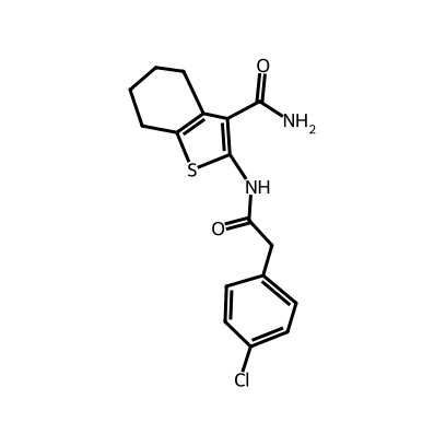 NC(=O)c1c(NC(=O)Cc2ccc(Cl)cc2)sc2c1CCCC2